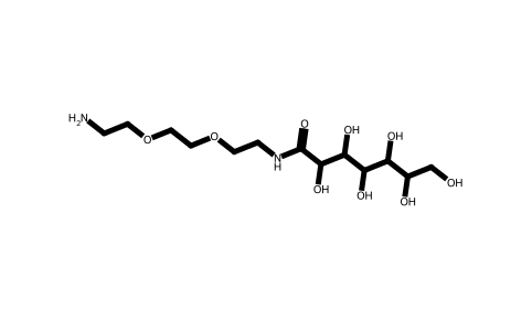 NCCOCCOCCNC(=O)C(O)C(O)C(O)C(O)C(O)CO